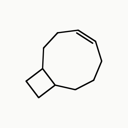 C1=CCCC2CCC2CCC1